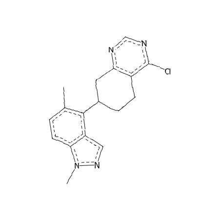 Cc1ccc2c(cnn2C)c1C1CCc2c(Cl)ncnc2C1